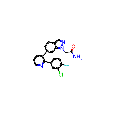 NC(=O)Cn1ncc2ccc(-c3cccnc3-c3ccc(F)c(Cl)c3)cc21